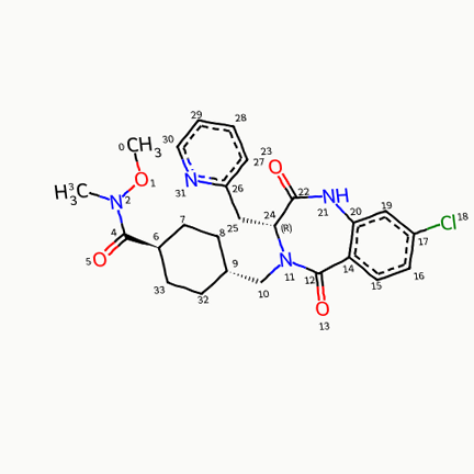 CON(C)C(=O)[C@H]1CC[C@H](CN2C(=O)c3ccc(Cl)cc3NC(=O)[C@H]2Cc2ccccn2)CC1